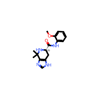 COc1ccccc1NC(=O)[C@@H]1Cc2[nH]cnc2C(C)(C)N1